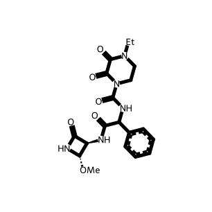 CCN1CCN(C(=O)NC(C(=O)N[C@@H]2C(=O)N[C@H]2OC)c2ccccc2)C(=O)C1=O